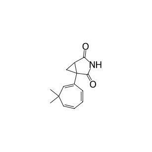 CC1(C)C=CC=CC(C23CC2C(=O)NC3=O)=C1